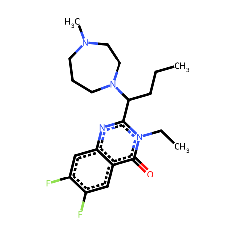 CCCC(c1nc2cc(F)c(F)cc2c(=O)n1CC)N1CCCN(C)CC1